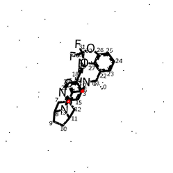 C[C@H](NCC(=O)N1CC2CCC(C1)N2c1ccc(C#N)cn1)c1cccc2c1OC(F)(F)O2